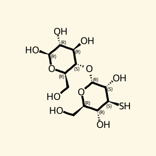 OC[C@H]1O[C@H](O[C@H]2[C@H](O)[C@@H](O)[C@H](O)O[C@@H]2CO)[C@H](O)[C@@H](S)[C@@H]1O